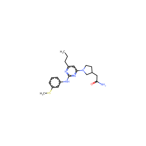 CCCc1cc(N2CCC(CC(N)=O)C2)nc(Nc2cccc(SC)c2)n1